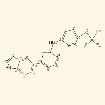 FC(F)(F)Oc1ccc(Nc2cc(-c3ccc4[nH]ccc4c3)ncn2)cc1